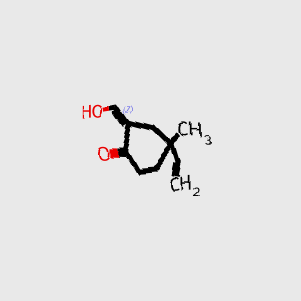 C=CC1(C)CCC(=O)/C(=C\O)C1